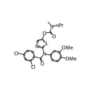 CCCN(C)C(=O)Oc1cnc(N(C(=O)c2ccc(Cl)cc2Cl)c2ccc(OC)c(OC)c2)s1